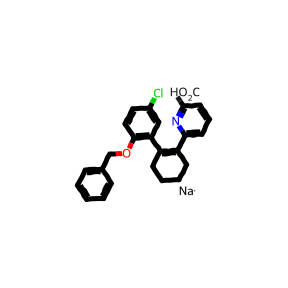 O=C(O)c1cccc(C2=C(c3cc(Cl)ccc3OCc3ccccc3)CCCC2)n1.[Na]